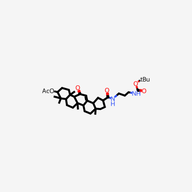 CC(=O)OC1CCC2(C)C(CCC3(C)C4CCC5(C)CCC(C(=O)NCCCNC(=O)OC(C)(C)C)CC5C4=CC(=O)C32)C1(C)C